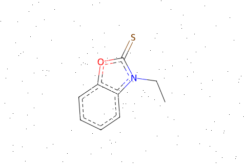 CCn1c(=S)oc2ccccc21